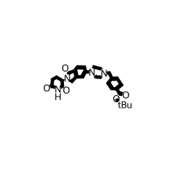 CC(C)(C)OC(=O)c1ccc(CN2CCN(c3ccc4c(c3)CN([C@H]3CCC(=O)NC3=O)C4=O)CC2)cc1